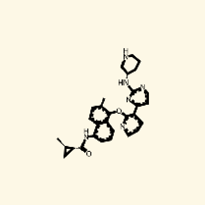 Cc1ccc2c(NC(=O)[C@@H]3C[C@H]3C)cccc2c1Oc1ncccc1-c1ccnc(N[C@H]2CCCNC2)n1